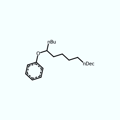 CCCCCCCCCCCCCCC(CCCC)Oc1ccccc1